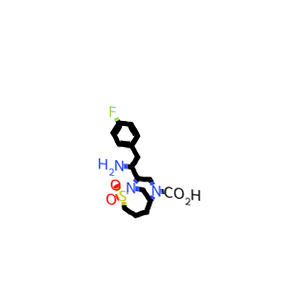 NC(Cc1ccc(F)cc1)C1CN(C(=O)O)C2CCCS(=O)(=O)N1C2